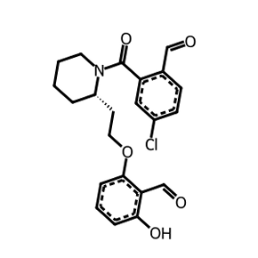 O=Cc1ccc(Cl)cc1C(=O)N1CCCC[C@H]1CCOc1cccc(O)c1C=O